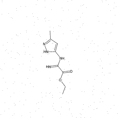 CCOC(=O)C(=N)Nc1cc(C)n[nH]1